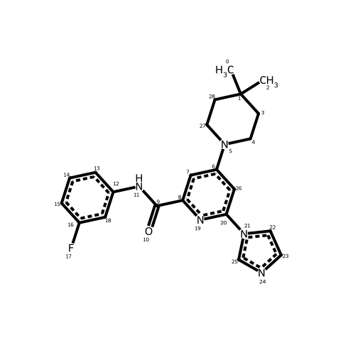 CC1(C)CCN(c2cc(C(=O)Nc3cccc(F)c3)nc(-n3ccnc3)c2)CC1